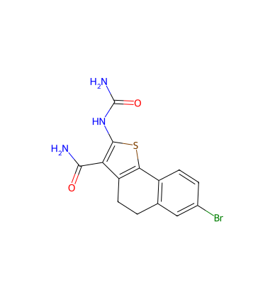 NC(=O)Nc1sc2c(c1C(N)=O)CCc1cc(Br)ccc1-2